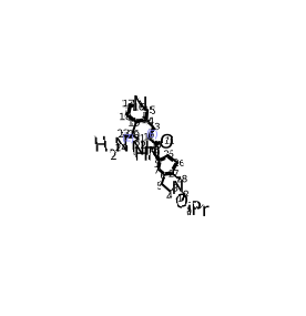 CC(C)OCN1CCc2cc(NC(=O)/C=C/c3cnccc3/C(C=N)=C/N)ccc2C1